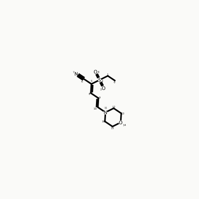 CCS(=O)(=O)C(C#N)=CC=CN1CCOCC1